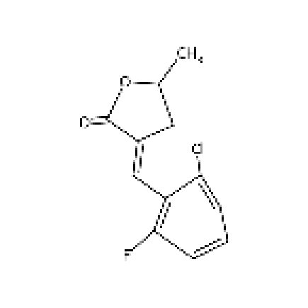 CC1CC(=Cc2c(F)cccc2Cl)C(=O)O1